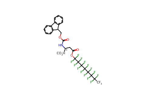 O=C(C[C@H](NC(=O)OCC1c2ccccc2-c2ccccc21)C(=O)O)OC(F)(F)C(F)(F)C(F)(F)C(F)(F)C(F)(F)C(F)(F)C(F)(F)C(F)(F)F